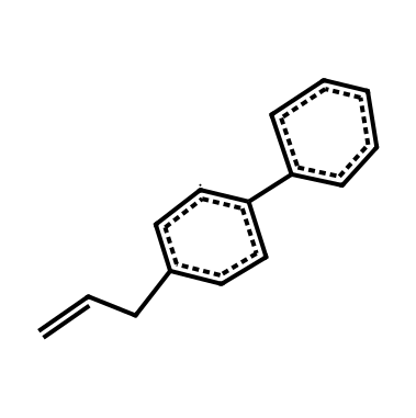 C=CCc1c[c]c(-c2ccccc2)cc1